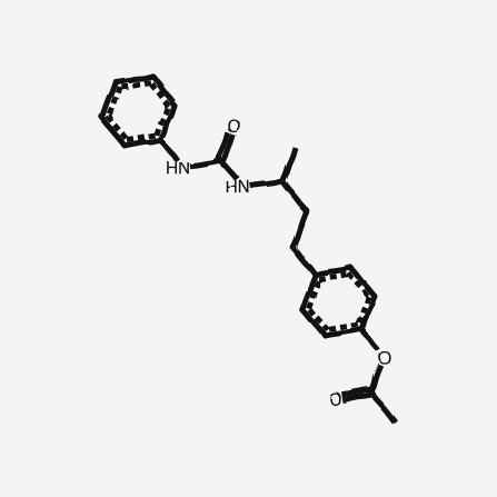 CC(=O)Oc1ccc(CCC(C)NC(=O)Nc2ccccc2)cc1